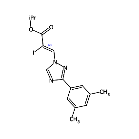 Cc1cc(C)cc(-c2ncn(/C=C(\I)C(=O)OC(C)C)n2)c1